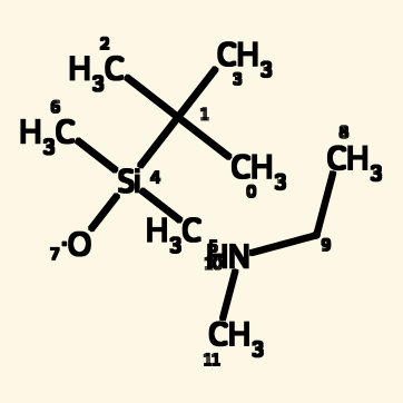 CC(C)(C)[Si](C)(C)[O].CCNC